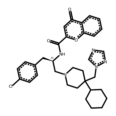 O=C(N[C@H](Cc1ccc(Cl)cc1)CN1CCC(Cn2cncn2)(C2CCCCC2)CC1)c1cc(=O)c2ccccc2o1